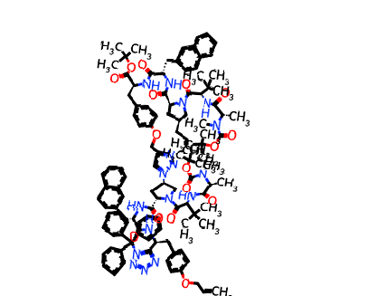 C=CCOc1ccc(C[C@H](NC(=O)[C@H](Cc2ccc3ccccc3c2)NC(=O)[C@@H]2C[C@H](n3cc(COc4ccc(C[C@H](NC(=O)[C@H](Cc5ccc6ccccc6c5)NC(=O)[C@@H]5C[C@H](CC=C)CN5C(=O)[C@@H](NC(=O)[C@H](C)N(C)C(=O)OC(C)(C)C)C(C)(C)C)C(=O)OC(C)(C)C)cc4)nn3)CN2C(=O)[C@@H](NC(=O)[C@H](C)N(C)C(=O)OC(C)(C)C)C(C)(C)C)c2nnnn2C(c2ccccc2)(c2ccccc2)c2ccccc2)cc1